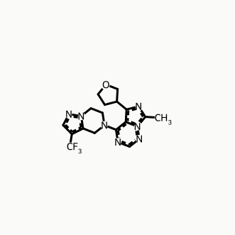 Cc1nc(C2CCOC2)c2c(N3CCn4ncc(C(F)(F)F)c4C3)ncnn12